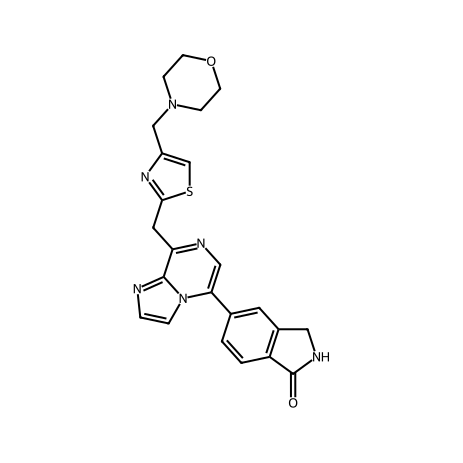 O=C1NCc2cc(-c3cnc(Cc4nc(CN5CCOCC5)cs4)c4nccn34)ccc21